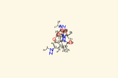 CCNc1cc2c(cc1C)C1(c3cc(C)c(NCC)cc3O2)c2ccccc2C(=O)N1N(C(=O)O)C(C)(C)C